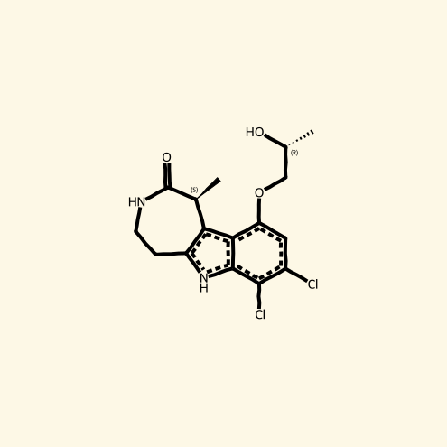 C[C@@H]1C(=O)NCCc2[nH]c3c(Cl)c(Cl)cc(OC[C@@H](C)O)c3c21